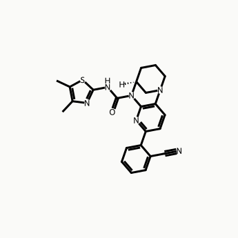 Cc1nc(NC(=O)N2c3nc(-c4ccccc4C#N)ccc3N3CCC[C@H]2C3)sc1C